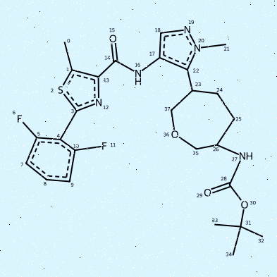 Cc1sc(-c2c(F)cccc2F)nc1C(=O)Nc1cnn(C)c1C1CCC(NC(=O)OC(C)(C)C)COC1